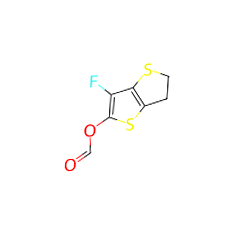 O=COc1sc2c(c1F)SCC2